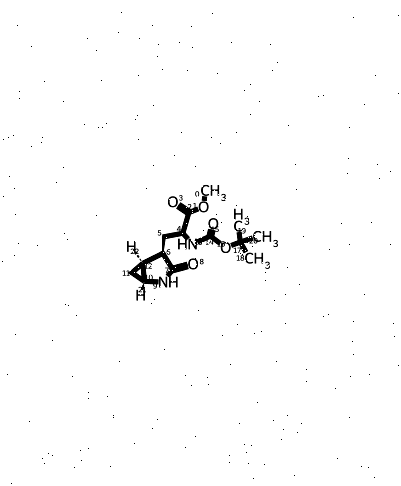 COC(=O)C(C[C@H]1C(=O)N[C@H]2C[C@H]21)NC(=O)OC(C)(C)C